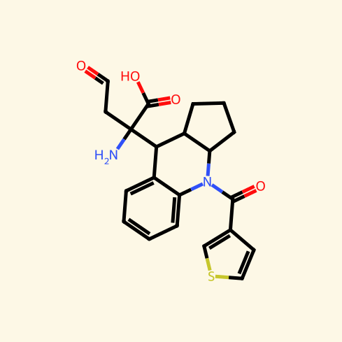 NC(CC=O)(C(=O)O)C1c2ccccc2N(C(=O)c2ccsc2)C2CCCC21